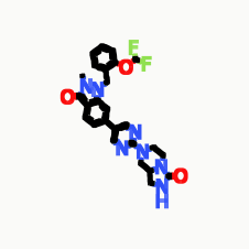 Cn1c(=O)c2ccc(-c3cnc(N4CCN5C(=O)NCC5C4)nc3)cc2n1Cc1ccccc1OC(F)F